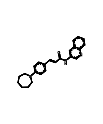 O=C(/C=C/c1ccc(N2CCCCCC2)cc1)Nc1cnc2ccccc2c1